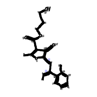 C/C=C(/C=C1\OC(C)=C(C(=O)OCCCO)C1=O)c1cccnc1C